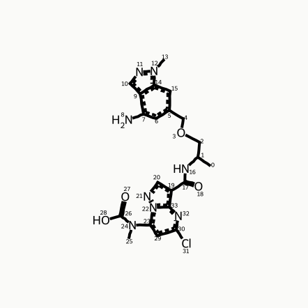 CC(COCc1cc(N)c2cnn(C)c2c1)NC(=O)c1cnn2c(N(C)C(=O)O)cc(Cl)nc12